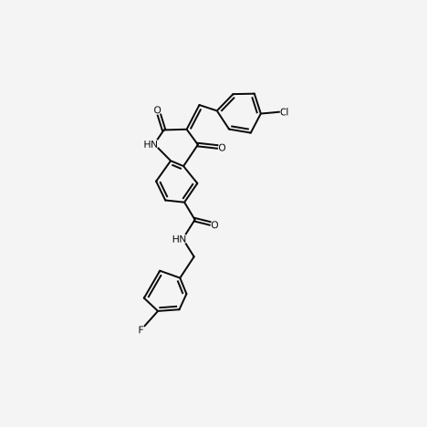 O=C1Nc2ccc(C(=O)NCc3ccc(F)cc3)cc2C(=O)/C1=C\c1ccc(Cl)cc1